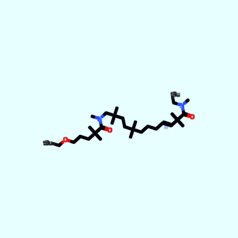 CN(CC(C)(C)C)C(=O)C(C)(C)/C=C/CCCC(C)(C)CCC(C)(C)CN(C)C(=O)C(C)(C)CCCOCC(C)(C)C